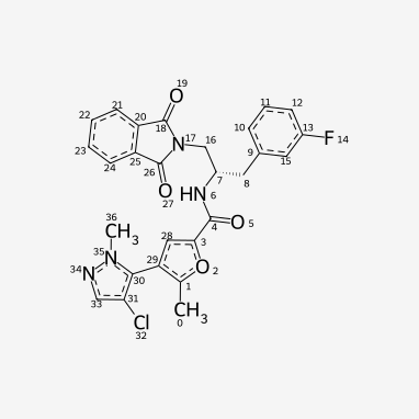 Cc1oc(C(=O)N[C@@H](Cc2cccc(F)c2)CN2C(=O)c3ccccc3C2=O)cc1-c1c(Cl)cnn1C